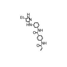 C=CC(=O)Nc1ccc(C(=O)Nc2cccc(Nc3cc(CC)[nH]n3)c2)cc1